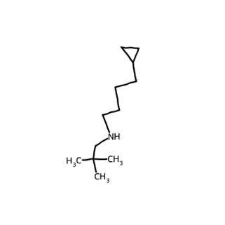 CC(C)(C)CNCCCCC1CC1